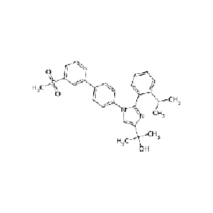 CC(C)c1ccccc1-c1nc(C(C)(C)O)cn1-c1ccc(-c2cccc(S(C)(=O)=O)c2)cc1